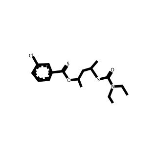 CCN(CC)C(=O)SC(C)CC(C)OC(=S)c1cccc(Cl)c1